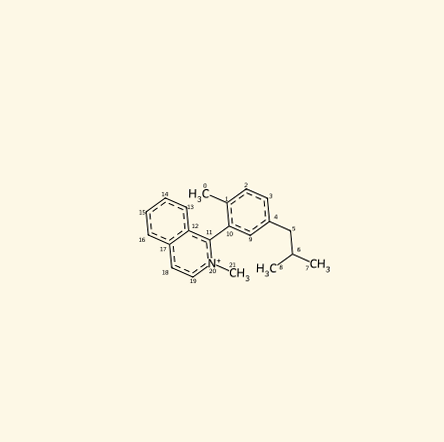 Cc1ccc(CC(C)C)cc1-c1c2ccccc2cc[n+]1C